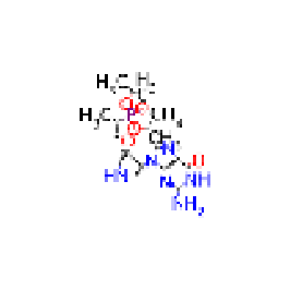 CC(C)OP(=O)(OC(C)C)C(C)CO[C@H]1CNC[C@H]1n1cnc2c(=O)[nH]c(N)nc21